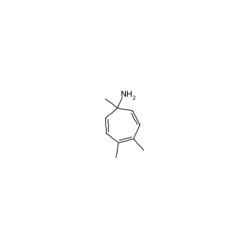 CC1=C(C)C=CC(C)(N)C=C1